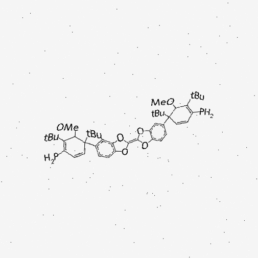 COC1C(C(C)(C)C)=C(P)C=CC1(c1ccc2c(c1)OC(=C1Oc3ccc(C4(C(C)(C)C)C=CC(P)=C(C(C)(C)C)C4OC)cc3O1)O2)C(C)(C)C